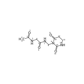 CC(=O)NCC(=O)NCN1C(=O)CCNC1=O